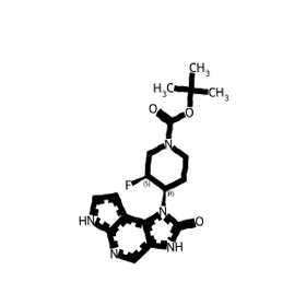 CC(C)(C)OC(=O)N1CC[C@@H](n2c(=O)[nH]c3cnc4[nH]ccc4c32)[C@@H](F)C1